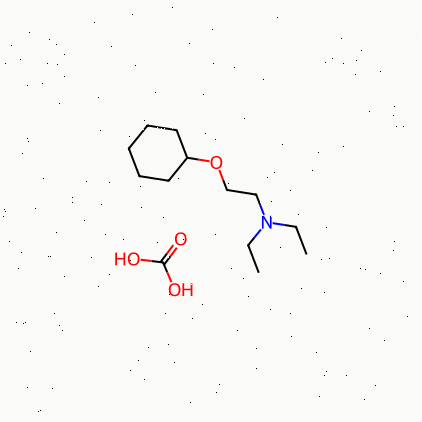 CCN(CC)CCOC1CCCCC1.O=C(O)O